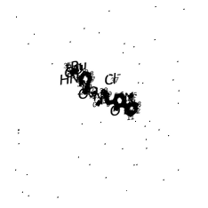 Cc1n(CC2CCc3c(c4ccccc4n3C)C2=O)cc[n+]1COC(=O)N1CCC[C@@H](NC(=O)OC(C)(C)C)C1.[Cl-]